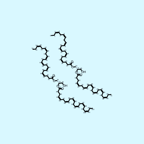 CC/C=C\C/C=C\C/C=C\C/C=C\C/C=C\C/C=C\CCC(=O)OC[C@H](CO)OC(=O)CC/C=C\C/C=C\C/C=C\C/C=C\C/C=C\C/C=C\CC.CC/C=C\C/C=C\C/C=C\C/C=C\C/C=C\C/C=C\CCC(=O)OC[C@H](CO)OC(=O)CC/C=C\C/C=C\C/C=C\C/C=C\C/C=C\C/C=C\CC